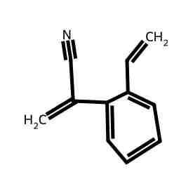 C=Cc1ccccc1C(=C)C#N